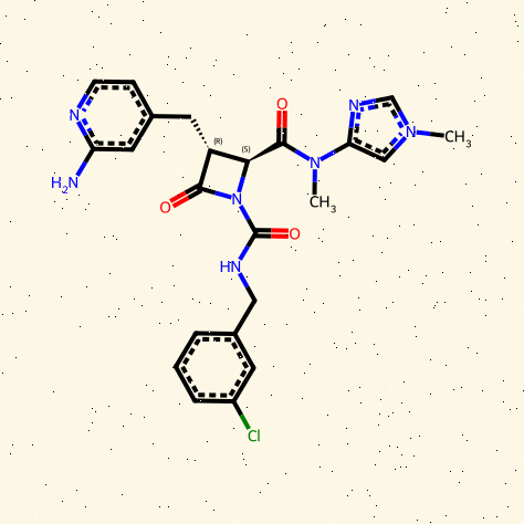 CN(C(=O)[C@@H]1[C@@H](Cc2ccnc(N)c2)C(=O)N1C(=O)NCc1cccc(Cl)c1)c1cn(C)cn1